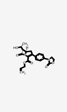 C=CCOC(=O)C1=C(c2ccc(N3CCOC3=O)cc2)C[C@@H]2[C@@H]([C@@H](C)O)C(=O)N12